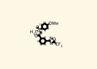 COc1ccc(S(C)(=O)=NC(=O)c2cccc(-c3noc(C(F)(F)F)n3)c2)cc1